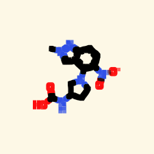 Cn1cc2c(N3CCC(NC(=O)O)C3)c([N+](=O)[O-])ccc2n1